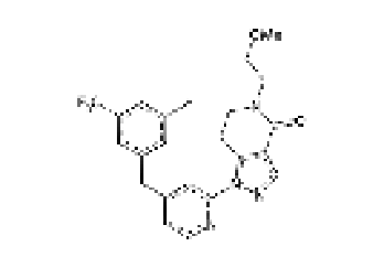 COCCN1CCc2c(cnn2-c2cc(Cc3cc(F)cc(C(F)(F)F)c3)ccn2)C1=O